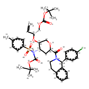 C=C[C@H](COC(=O)OC(C)(C)C)O[C@H]1CO[C@@H](C(=O)N2CCc3ccccc3[C@@H]2c2ccc(F)cc2)C[C@@H]1N(C(=O)OC(C)(C)C)S(=O)(=O)c1ccc(C)cc1